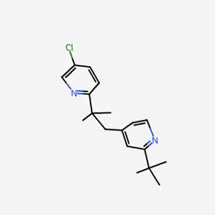 CC(C)(C)c1cc(CC(C)(C)c2ccc(Cl)cn2)ccn1